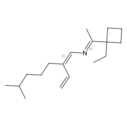 C=C/C(=C\N=C(/C)C1(CC)CCC1)CCCC(C)C